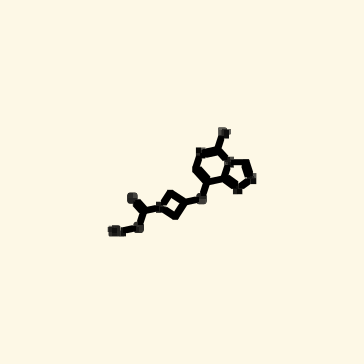 CC(C)(C)OC(=O)N1CC(Oc2cnc(Br)n3cnnc23)C1